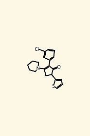 O=C1C(c2cccc(Cl)c2)=C(N2CCCCC2)CC1c1cccs1